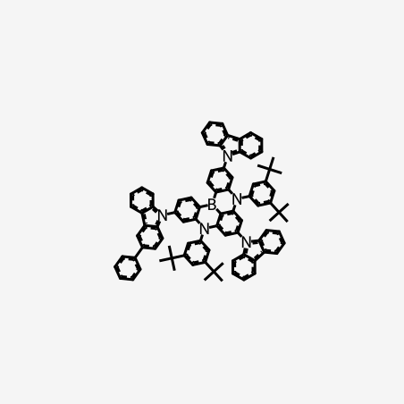 CC(C)(C)c1cc(N2c3cc(-n4c5ccccc5c5ccccc54)ccc3B3c4ccc(-n5c6ccccc6c6cc(-c7ccccc7)ccc65)cc4N(c4cc(C(C)(C)C)cc(C(C)(C)C)c4)c4cc(-n5c6ccccc6c6ccccc65)cc2c43)cc(C(C)(C)C)c1